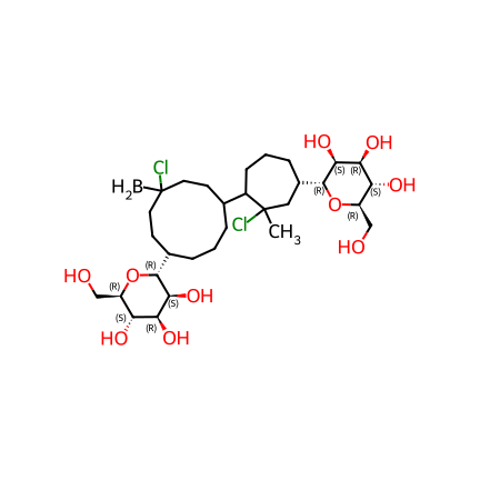 BC1(Cl)CCC(C2CCCC([C@H]3O[C@H](CO)[C@@H](O)[C@H](O)[C@@H]3O)CC2(C)Cl)CCCC([C@H]2O[C@H](CO)[C@@H](O)[C@H](O)[C@@H]2O)CC1